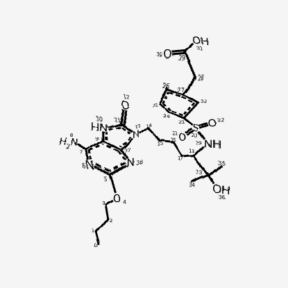 CCCCOc1nc(N)c2[nH]c(=O)n(CCCCC(NS(=O)(=O)c3cccc(CC(=O)O)c3)C(C)(C)O)c2n1